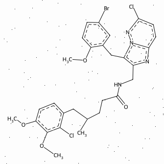 COc1ccc(Br)cc1Cc1c(CNC(=O)CCC(C)Cc2ccc(OC)c(OC)c2Cl)nc2ccc(Cl)nn12